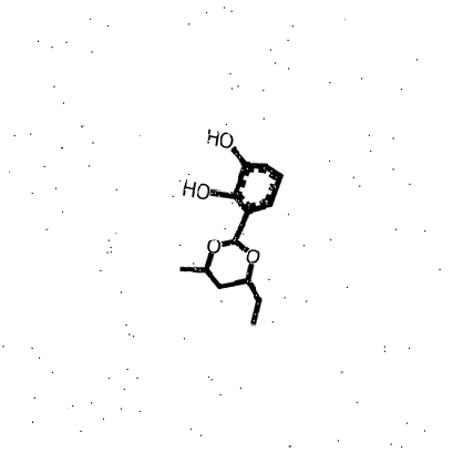 CCC1CC(C)OC(c2cccc(O)c2O)O1